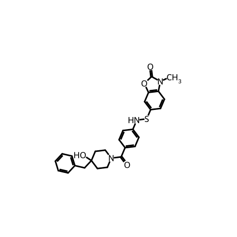 Cn1c(=O)oc2cc(SNc3ccc(C(=O)N4CCC(O)(Cc5ccccc5)CC4)cc3)ccc21